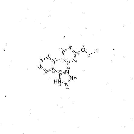 CCOc1ccc(-c2ccccc2-c2nnn[nH]2)cc1